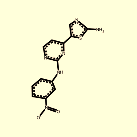 Nc1ncc(-c2ccnc(Nc3cccc([N+](=O)[O-])c3)n2)s1